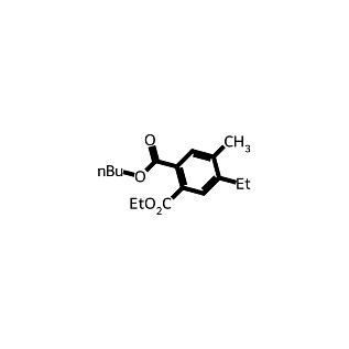 CCCCOC(=O)c1cc(C)c(CC)cc1C(=O)OCC